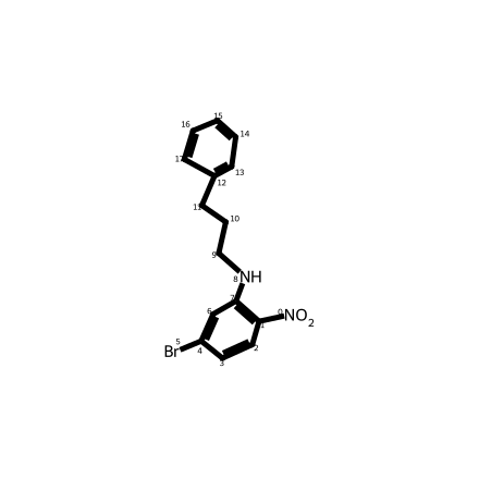 O=[N+]([O-])c1ccc(Br)cc1NCCCc1ccccc1